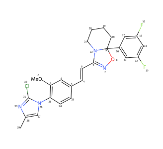 COc1cc(/C=C/C2=NOC3(c4cc(F)cc(F)c4)CCCCN23)ccc1-n1cc(C)nc1Cl